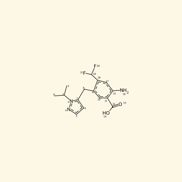 CC(C)n1nccc1Cc1cc(C(=O)O)c(N)cc1C(F)F